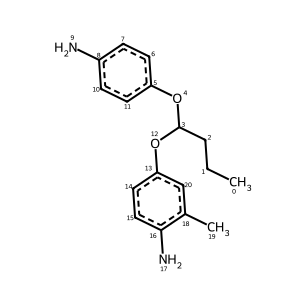 CCCC(Oc1ccc(N)cc1)Oc1ccc(N)c(C)c1